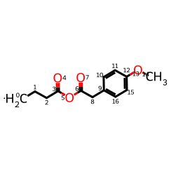 [CH2]CCC(=O)OC(=O)Cc1ccc(OC)cc1